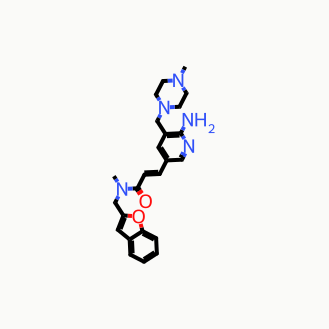 CN1CCN(Cc2cc(C=CC(=O)N(C)Cc3cc4ccccc4o3)cnc2N)CC1